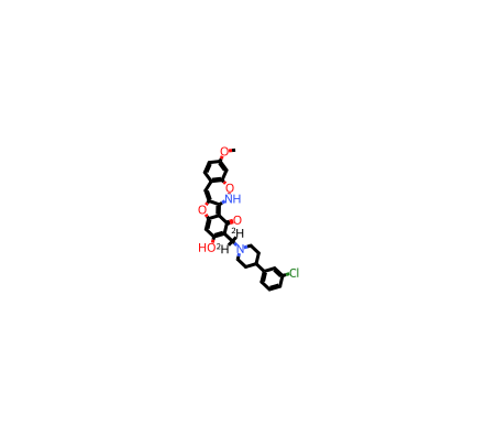 [2H]C([2H])(C1=C(O)C=c2oc3c(c2C1=O)NOc1cc(OC)ccc1C=3)N1CCC(c2cccc(Cl)c2)CC1